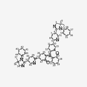 CC1(C)CN=C(c2ccc(-c3ccc4c(c3)Oc3cccc5c3B4c3ccc(-c4ccc(C6=NCC(C)(C)N6c6ccccc6)cn4)cc3O5)nc2)N1c1ccccc1